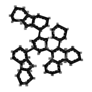 c1ccc(-c2c(-c3nc(-c4cccc5c4oc4ccccc45)nc(-c4cccc5c4sc4ccccc45)n3)c3ccccc3c3ccccc23)cc1